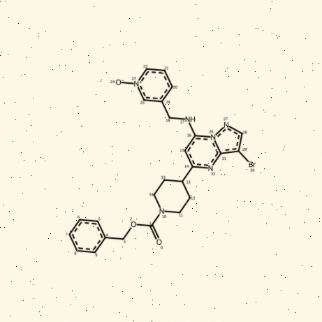 O=C(OCc1ccccc1)N1CCC(c2cc(NCc3ccc[n+]([O-])c3)n3ncc(Br)c3n2)CC1